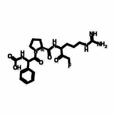 N=C(N)NCCCC(NC(=O)[C@@H]1CCCN1C(=O)C(NC(=O)O)c1ccccc1)C(=O)CF